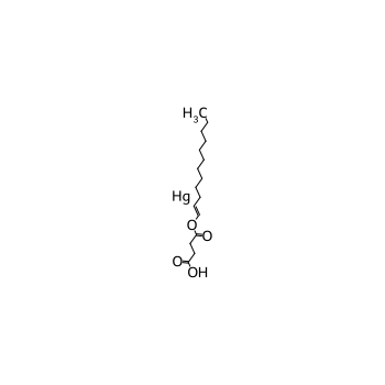 CCCCCCCCCCC=COC(=O)CCC(=O)O.[Hg]